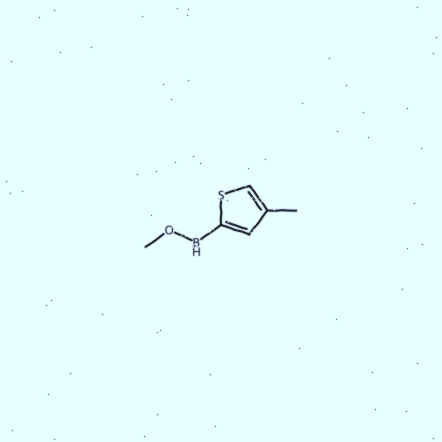 COBc1cc(C)cs1